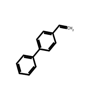 C=[C]c1ccc(-c2ccccc2)cc1